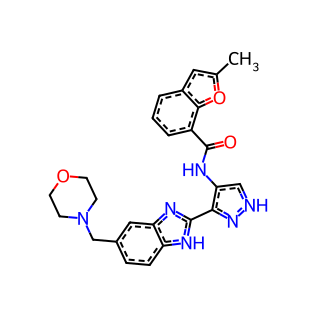 Cc1cc2cccc(C(=O)Nc3c[nH]nc3-c3nc4cc(CN5CCOCC5)ccc4[nH]3)c2o1